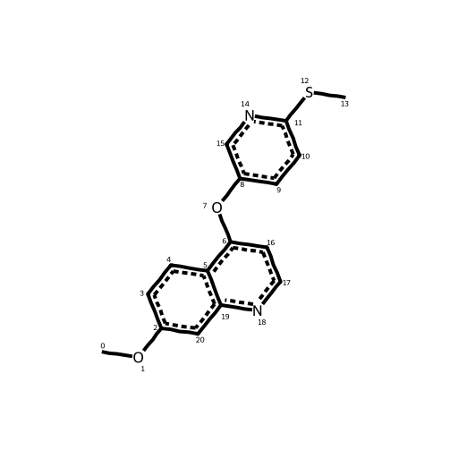 COc1ccc2c(Oc3ccc(SC)nc3)ccnc2c1